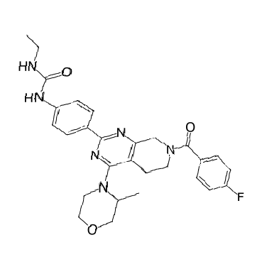 CCNC(=O)Nc1ccc(-c2nc3c(c(N4CCOCC4C)n2)CCN(C(=O)c2ccc(F)cc2)C3)cc1